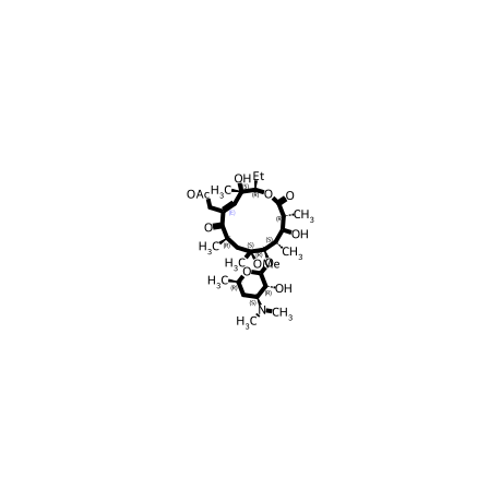 CC[C@H]1OC(=O)[C@H](C)C(O)[C@H](C)[C@@H](OC2O[C@H](C)C[C@H](N(C)C)[C@H]2O)[C@@](C)(OC)C[C@@H](C)C(=O)/C(COC(C)=O)=C/[C@]1(C)O